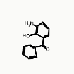 Nc1cccc(C(=O)c2ccccc2)c1O